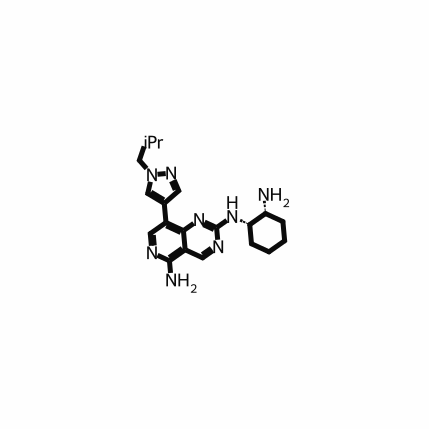 CC(C)Cn1cc(-c2cnc(N)c3cnc(N[C@H]4CCCC[C@H]4N)nc23)cn1